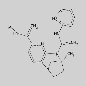 C=C(NC(C)C)c1ccc2c(n1)N(C(=C)Nc1ccccn1)[C@@]1(C)CCN2C1